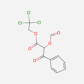 O=[C]OC(C(=O)OCC(Cl)(Cl)Cl)C(=O)c1ccccc1